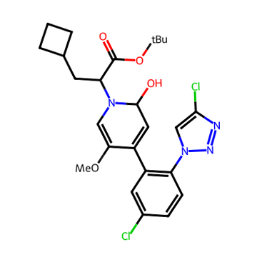 COC1=CN(C(CC2CCC2)C(=O)OC(C)(C)C)C(O)C=C1c1cc(Cl)ccc1-n1cc(Cl)nn1